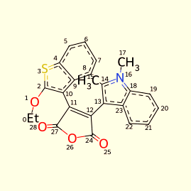 CCOc1sc2ccccc2c1C1=C(c2c(C)n(C)c3ccccc23)C(=O)OC1=O